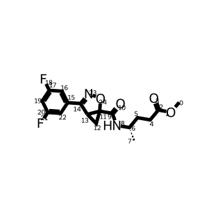 COC(=O)CC[C@H](C)NC(=O)C12CC1C(c1cc(F)cc(F)c1)=NO2